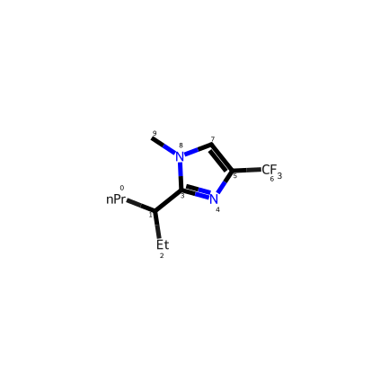 CCCC(CC)c1nc(C(F)(F)F)cn1C